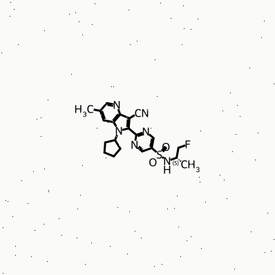 Cc1cnc2c(C#N)c(-c3ncc(S(=O)(=O)N[C@@H](C)CF)cn3)n(C3CCCC3)c2c1